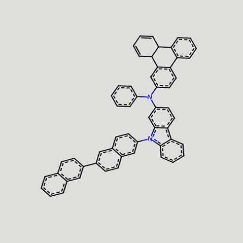 C1=CC2c3ccccc3-c3ccc(N(c4ccccc4)c4ccc5c6ccccc6n(-c6ccc7cc(-c8ccc9ccccc9c8)ccc7c6)c5c4)cc3C2C=C1